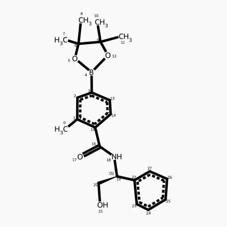 Cc1cc(B2OC(C)(C)C(C)(C)O2)ccc1C(=O)N[C@H](CO)c1ccccc1